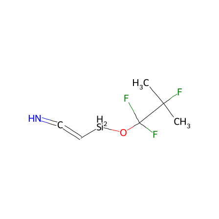 CC(C)(F)C(F)(F)O[SiH2]C=C=N